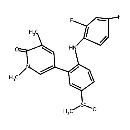 Cc1cc(-c2cc([S+](C)[O-])ccc2Nc2ccc(F)cc2F)cn(C)c1=O